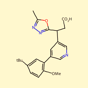 COc1ccc(C(C)(C)C)cc1-c1cncc(C(CC(=O)O)c2nnc(C)o2)c1